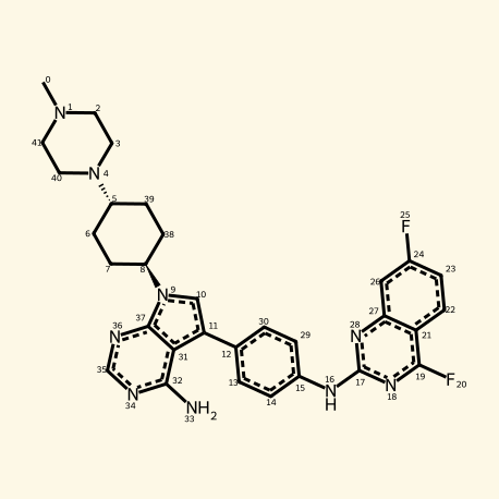 CN1CCN([C@H]2CC[C@H](n3cc(-c4ccc(Nc5nc(F)c6ccc(F)cc6n5)cc4)c4c(N)ncnc43)CC2)CC1